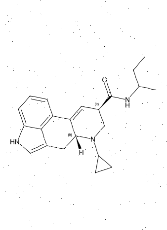 CCC(C)NC(=O)[C@@H]1C=C2c3cccc4[nH]cc(c34)C[C@H]2N(C2CC2)C1